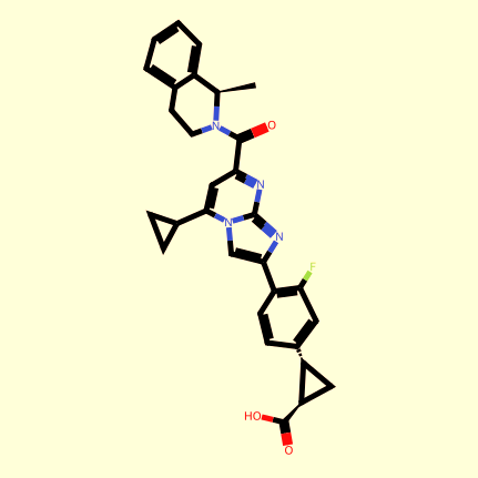 C[C@@H]1c2ccccc2CCN1C(=O)c1cc(C2CC2)n2cc(-c3ccc([C@@H]4C[C@H]4C(=O)O)cc3F)nc2n1